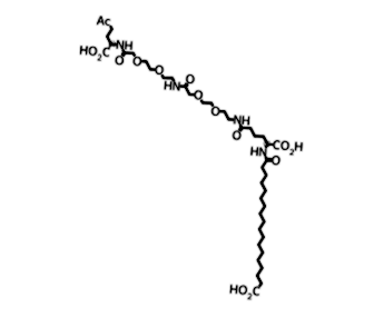 CC(=O)CC[C@H](NC(=O)COCCOCCNC(=O)COCCOCCNC(=O)CCC[C@H](NC(=O)CCCCCCCCCCCCCCCCC(=O)O)C(=O)O)C(=O)O